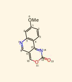 COc1ccc2c(c1)ncc1coc(=O)nc12